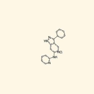 Cl.c1ccc(-c2n[nH]c3cc(Nc4ccccn4)ccc23)cc1